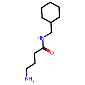 NCCCC(=O)N[CH]C1CCCCC1